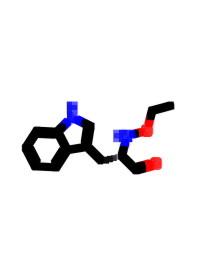 CCON[C@H](C=O)Cc1c[nH]c2ccccc12